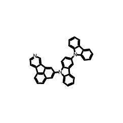 c1cc2c3c(cc(-n4c5ccccc5c5cc(-n6c7ccccc7c7ccccc76)ccc54)cc3c1)-c1cnccc1-2